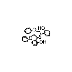 Oc1ccccc1C(CCOc1ccccc1)SC(CCOc1ccccc1)c1ccccc1O